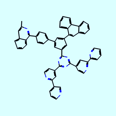 Cc1cc2ccccc2c(-c2ccc(-c3cc(-c4nc(-c5ccnc(-c6cccnc6)c5)nc(-c5ccnc(-c6ccccn6)c5)n4)cc(-c4cc5ccccc5c5ccccc45)c3)cc2)n1